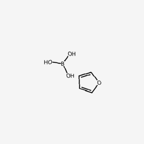 OB(O)O.c1ccoc1